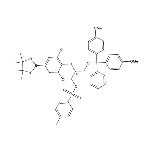 COc1ccc(C(OC[C@H](COS(=O)(=O)c2ccc(C)cc2)Oc2c(Cl)cc(B3OC(C)(C)C(C)(C)O3)cc2Cl)(c2ccccc2)c2ccc(OC)cc2)cc1